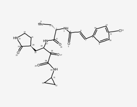 CC(C)(C)C[C@H](NC(=O)/C=C/c1ccc(Cl)cc1)C(=O)NC(C[C@@H]1CCNC1=O)C(=O)C(=O)NC1CC1